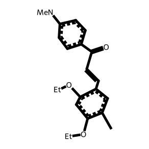 CCOc1cc(OCC)c(/C=C/C(=O)c2ccc(NC)cc2)cc1C